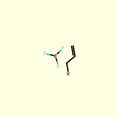 C=C[CH2][K].FB(F)F